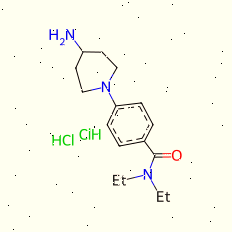 CCN(CC)C(=O)c1ccc(N2CCC(N)CC2)cc1.Cl.Cl